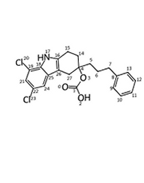 O=C(O)OC1(CCCc2ccccc2)CCc2[nH]c3c(Cl)cc(Cl)cc3c2C1